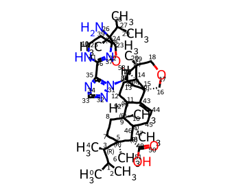 CC(C)[C@@H](C)[C@@]1(C)CC[C@]2(C)[C@H]3CC[C@@H]4[C@@]5(COC[C@@]4(C)[C@@H](OC[C@](C)(N)C(C)C)[C@H](n4ncnc4C4=NCCCN4)C5)C3=CC[C@@]2(C)[C@@H]1C(=O)O